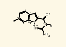 Cc1ccc2cc(C(=O)N(C)C(=N)N)[nH]c2c1